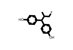 CC(CF)C(c1ccc(O)cc1)c1ccc(O)cc1